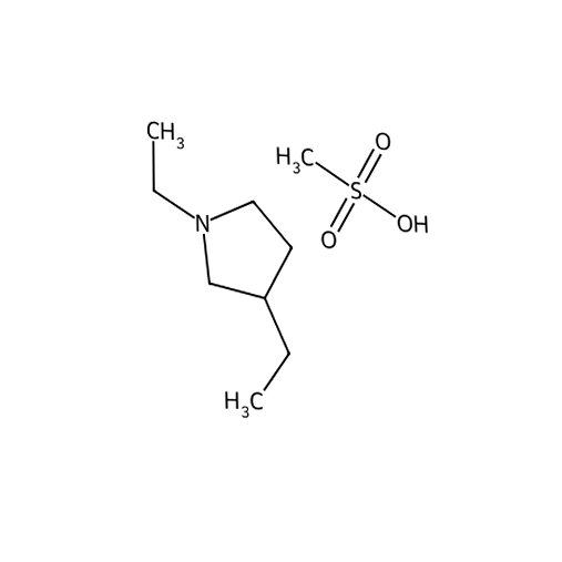 CCC1CCN(CC)C1.CS(=O)(=O)O